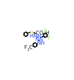 O=C(O)C(CSCc1ccccc1)Nc1nc(Nc2ccc(C(F)(F)F)cc2)nc(-c2cc(F)cc(F)c2)n1